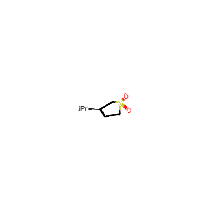 CC(C)[C@@H]1CCS(=O)(=O)C1